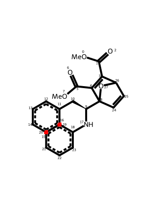 COC(=O)C1=C(C(=O)OC)C2([C@H](Cc3ccccc3)Nc3ccccc3)C=CC1O2